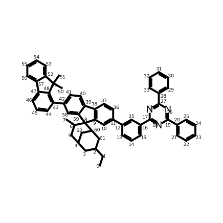 CCC1CC2CC(C)C3(c4cc(-c5cccc(-c6nc(-c7ccccc7)nc(-c7ccccc7)n6)c5)ccc4-c4ccc(-c5cccc6c5C(C)(C)c5ccccc5-6)cc43)C(C1)C2